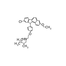 CCOc1ccc2c3c(ccc2c1)-c1ccc(Cl)cc1C3c1ccc(OCCNCC(C)C(C)C)cc1